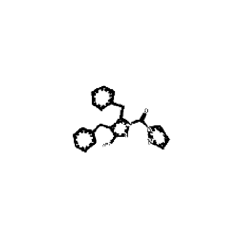 CCCc1nn(C(=O)n2cccn2)c(Cc2ccccc2)c1Cc1ccccc1